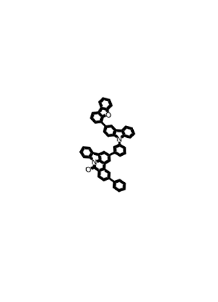 O=c1c2ccc(-c3ccccc3)cc2c2cc(-c3cccc(-n4c5ccccc5c5cc(-c6cccc7c6oc6ccccc67)ccc54)c3)cc3c4ccccc4n1c23